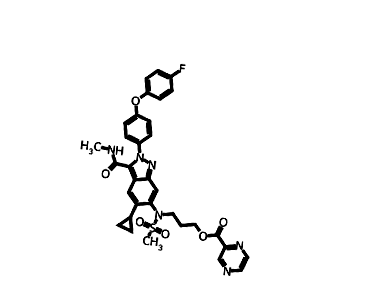 CNC(=O)c1c2cc(C3CC3)c(N(CCCOC(=O)c3cnccn3)S(C)(=O)=O)cc2nn1-c1ccc(Oc2ccc(F)cc2)cc1